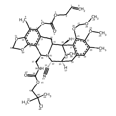 C=CCOC(=O)Oc1c(C)c2c(c3c1CC1[C@@H]4c5c(cc(C)c(OC)c5OCOC)C[C@@H]([C@H](C#N)N1[C@H]3CNC(=O)OCC(C)(C)Cl)N4C)OCO2